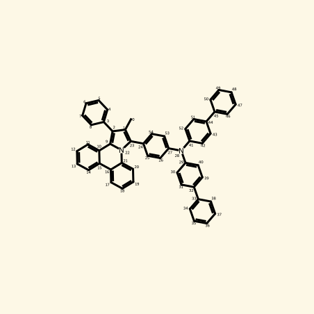 Cc1c(-c2ccccc2)c2c3ccccc3c3ccccc3n2c1-c1ccc(N(c2ccc(-c3ccccc3)cc2)c2ccc(-c3ccccc3)cc2)cc1